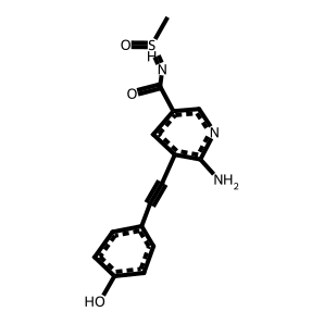 C/[SH](=O)=N/C(=O)c1cnc(N)c(C#Cc2ccc(O)cc2)c1